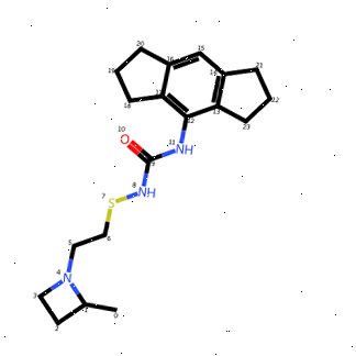 CC1CCN1CCSNC(=O)Nc1c2c(cc3c1CCC3)CCC2